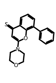 S=c1cc(N2CCOCC2)oc2c(-c3ccccc3)cccc12